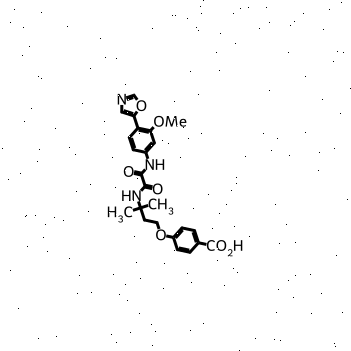 COc1cc(NC(=O)C(=O)NC(C)(C)CCOc2ccc(C(=O)O)cc2)ccc1-c1cnco1